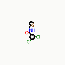 O=C(NCc1cccs1)c1cc(Cl)cc(Cl)c1